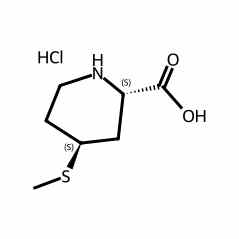 CS[C@H]1CCN[C@H](C(=O)O)C1.Cl